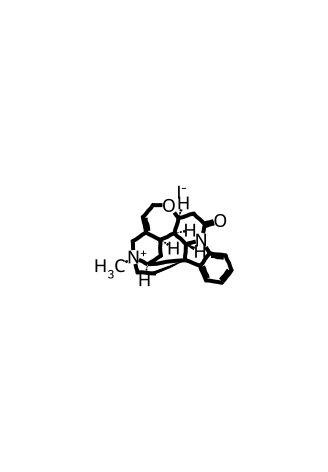 C[N@+]12CC[C@@]34c5ccccc5N5C(=O)C[C@@H]6OCC=C(C1)[C@H](C[C@@H]32)[C@@H]6[C@H]54.[I-]